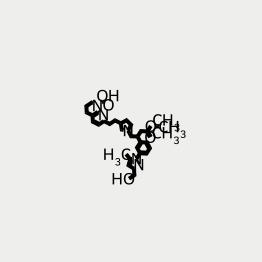 Cc1cc(CO)nn1-c1cccc(C(CC(=O)OC(C)(C)C)CN2CCC(CCc3ccc4c(n3)N(C(=O)O)CCC4)C2)c1